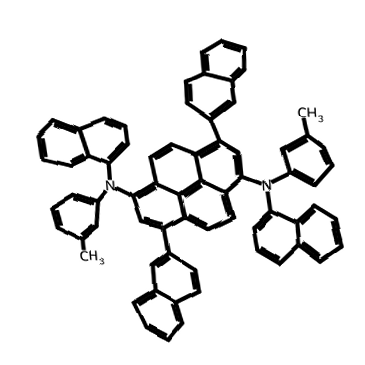 Cc1cccc(N(c2cccc3ccccc23)c2cc(-c3ccc4ccccc4c3)c3ccc4c(N(c5cccc(C)c5)c5cccc6ccccc56)cc(-c5ccc6ccccc6c5)c5ccc2c3c54)c1